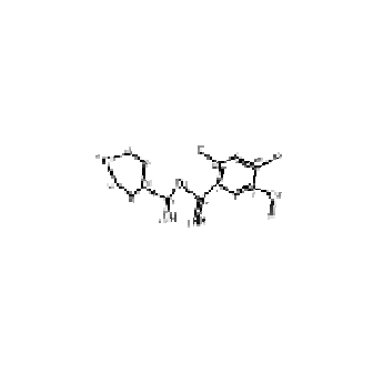 COc1cc(C(=N)OC(=N)C2CCOCC2)c(C)cc1C